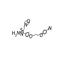 N#Cc1ccc(OCCCCCOc2ccc(-c3nc(N)sc3CCN3CCOCC3)cc2)cc1